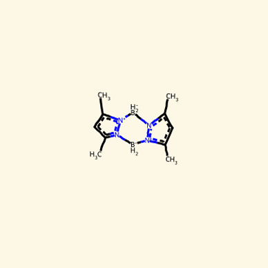 Cc1cc(C)[n+]2n1[BH2-][n+]1c(C)cc(C)n1[BH2-]2